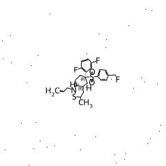 C=CCN1SC(C)C[C@@H]2C[C@](c3cc(F)ccc3F)(S(=O)(=O)c3ccc(CF)cc3)CC[C@@H]21